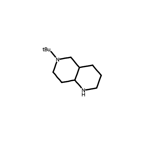 CC(C)(C)N1CCC2NCCCC2C1